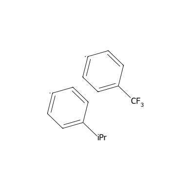 CC(C)c1cc[c]cc1.FC(F)(F)c1cc[c]cc1